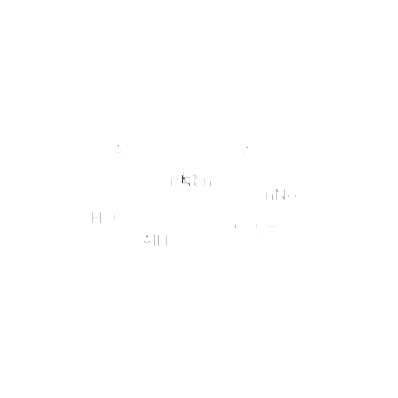 CCC(C(C)=O)C(=O)O.CCCCCCCCCC(CCCCCCCCC)(C(C)=O)C(=O)O.[AlH3]